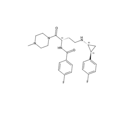 CN1CCN(C(=O)[C@H](CCN[C@@H]2C[C@H]2c2ccc(F)cc2)NC(=O)c2ccc(F)cc2)CC1